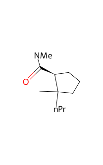 CCCC1(C)CCC[C@@H]1C(=O)NC